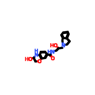 O=C(NCC(O)CN1CCc2ccccc2C1)c1ccc2c(c1)OCC(O)N2